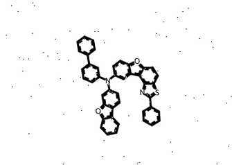 c1ccc(-c2cccc(N(c3ccc4c(c3)oc3ccccc34)c3ccc4oc5ccc6sc(-c7ccccc7)nc6c5c4c3)c2)cc1